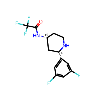 O=C(N[C@@H]1CCN[C@H](c2cc(F)cc(F)c2)C1)C(F)(F)F